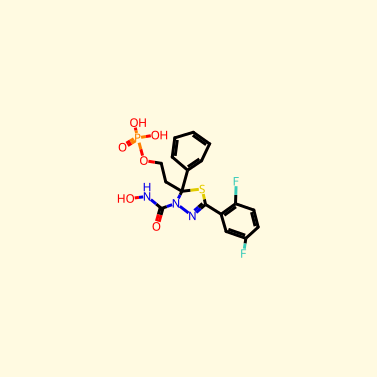 O=C(NO)N1N=C(c2cc(F)ccc2F)SC1(CCOP(=O)(O)O)c1ccccc1